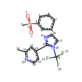 CS(=O)(=O)c1ccccc1.Cc1cc(-c2nccn2C(F)(F)F)ccn1